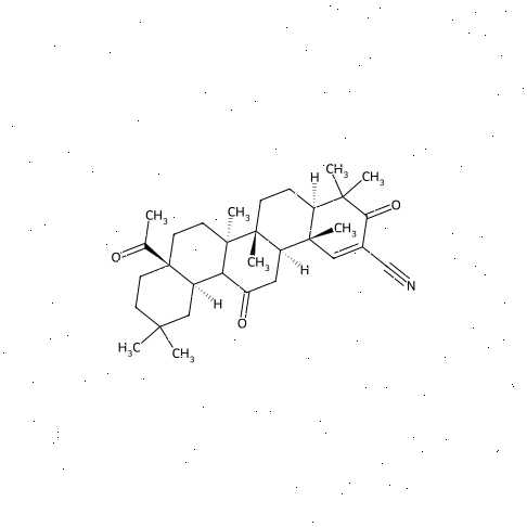 CC(=O)[C@]12CCC(C)(C)C[C@@H]1C1C(=O)C[C@@H]3[C@@]4(C)C=C(C#N)C(=O)C(C)(C)[C@@H]4CC[C@@]3(C)[C@]1(C)CC2